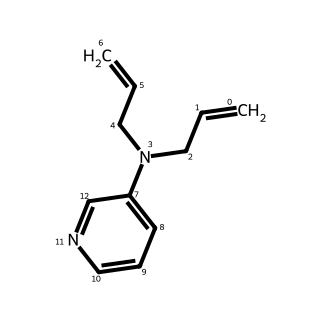 C=CCN(CC=C)c1cccnc1